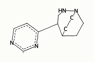 [c]1nccc(C2CNN3CCC2CC3)n1